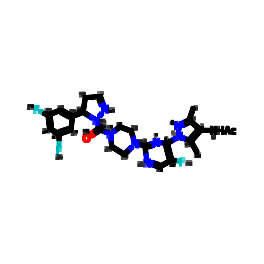 CC(=O)Nc1c(C)nn(-c2nc(N3CCN(C(=O)N4N=CCC4c4cc(F)cc(F)c4)CC3)ncc2F)c1C